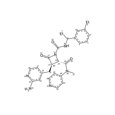 CCc1cccc(C(CC)NC(=O)N2C(=O)[C@H](Cc3ccnc(N)c3)[C@H]2C(=O)N(C)c2ccncc2)c1